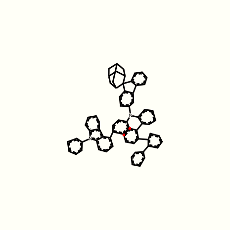 c1ccc(-c2ccccc2-c2ccccc2-c2ccccc2N(c2ccc(-c3cccc4c3c3ccccc3n4-c3ccccc3)cc2)c2ccc3c(c2)-c2ccccc2C32C3CC4CC(C3)CC2C4)cc1